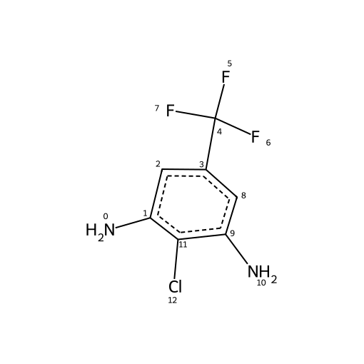 Nc1cc(C(F)(F)F)cc(N)c1Cl